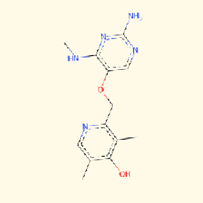 CNc1nc(N)ncc1OCc1ncc(C)c(O)c1C